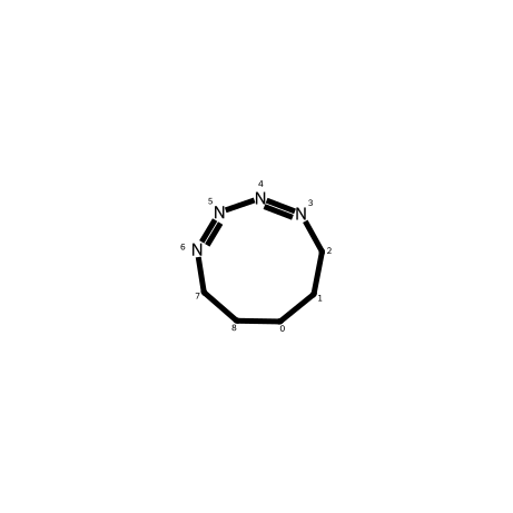 C1CCN=NN=NCC1